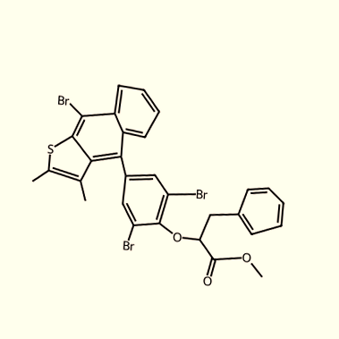 COC(=O)C(Cc1ccccc1)Oc1c(Br)cc(-c2c3ccccc3c(Br)c3sc(C)c(C)c23)cc1Br